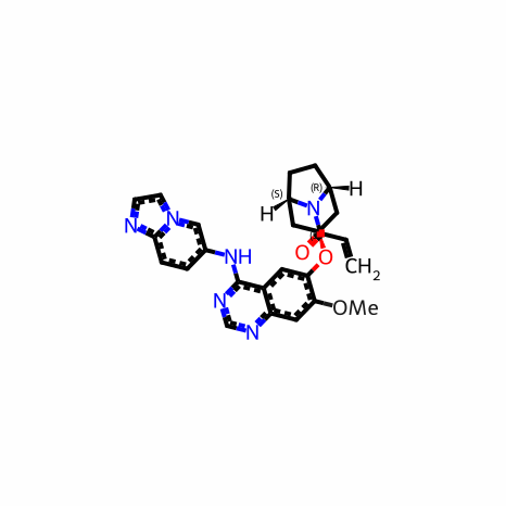 C=CC(=O)N1[C@@H]2CC[C@H]1C[C@H](Oc1cc3c(Nc4ccc5nccn5c4)ncnc3cc1OC)C2